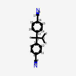 CC(C)C(C)(c1ccc(C#N)cc1)c1ccc(C#N)cc1